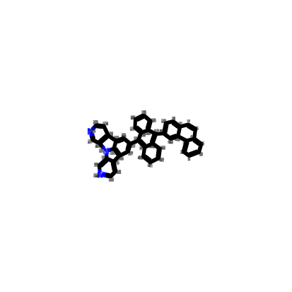 c1ccc2c(c1)ccc1ccc(-c3c4ccccc4c(-c4cc5c6ccncc6n6c7cnccc7c(c4)c56)c4ccccc34)cc12